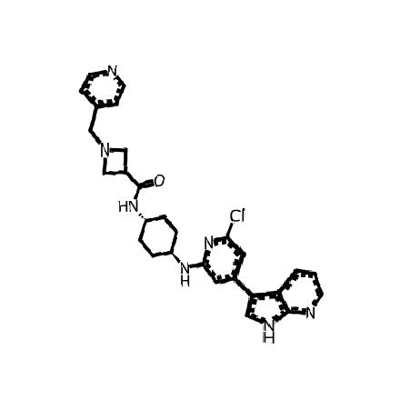 O=C(N[C@H]1CC[C@H](Nc2cc(-c3c[nH]c4ncccc34)cc(Cl)n2)CC1)C1CN(Cc2ccncc2)C1